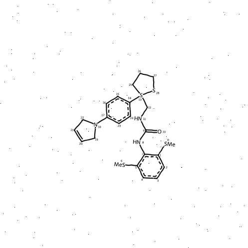 CSc1cccc(SC)c1NC(=O)NCS1(c2ccc(N3CC=CC3)cc2)CCCS1